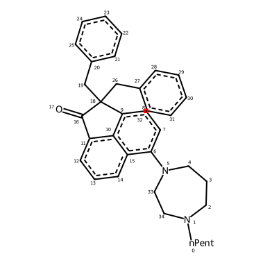 CCCCCN1CCCN(c2ccc3c4c(cccc24)C(=O)C3(Cc2ccccc2)Cc2ccccc2)CC1